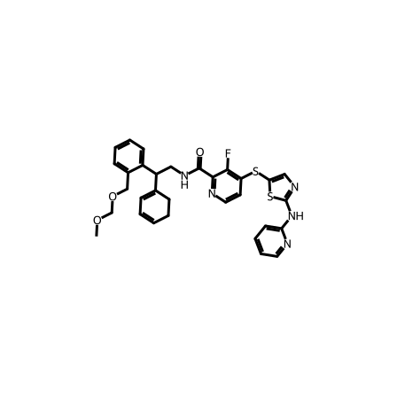 COCOCc1ccccc1C(CNC(=O)c1nccc(Sc2cnc(Nc3ccccn3)s2)c1F)C1=CC=CCC1